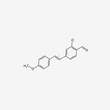 COc1ccc(/C=C/c2ccc(C=O)c(Cl)c2)cc1